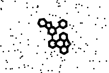 c1ccc(-c2nc(-c3cccc4c5cccc6oc7cccc(c34)c7c65)nc3c2sc2ccccc23)cc1